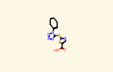 O=C(O)c1cnc(Sc2nnnn2C2CCCCC2)s1